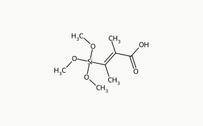 CO[Si](OC)(OC)C(C)=C(C)C(=O)O